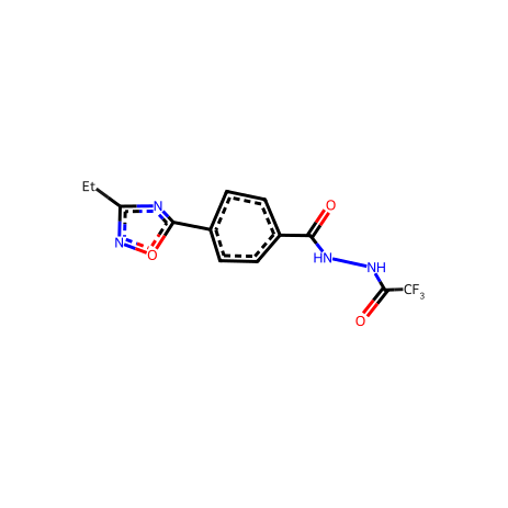 CCc1noc(-c2ccc(C(=O)NNC(=O)C(F)(F)F)cc2)n1